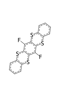 Fc1c2sc3ccccc3sc2c(F)c2sc3ccccc3sc12